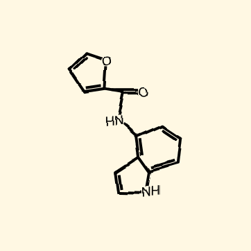 O=C(Nc1cccc2[nH]ccc12)c1ccco1